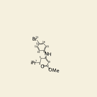 COC(=O)C=C(CCC(C)C)Nc1ccc(Br)cc1